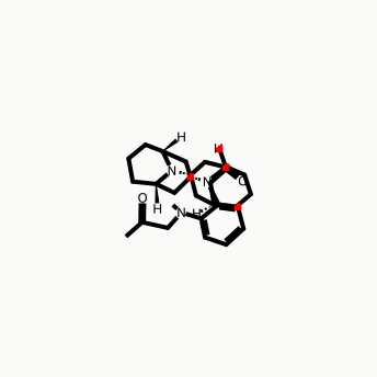 CC(=O)CN(C)c1ccccc1N(C(C)=O)[C@H]1C[C@H]2CCC[C@@H](C1)N2[C@H]1C[C@@H]2CCC[C@@H](C2)C1